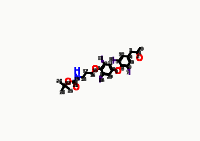 CC(=O)Cc1cc(I)c(Oc2cc(I)c(OCCCNC(=O)OC(C)(C)C)c(I)c2)c(I)c1